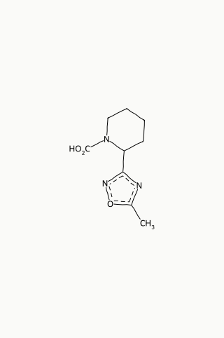 Cc1nc(C2CCCCN2C(=O)O)no1